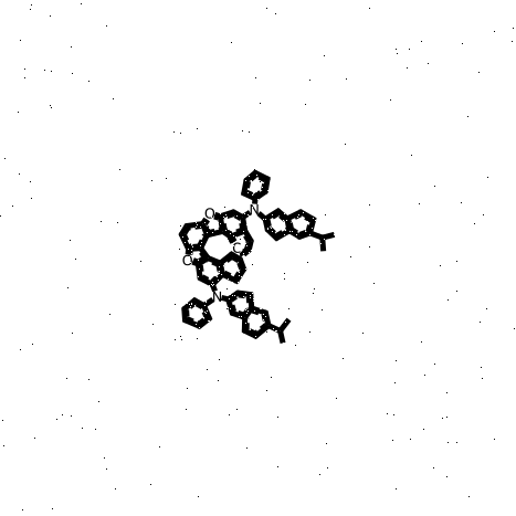 CC(C)c1ccc2cc(N(c3ccccc3)c3cc4oc5ccc6oc7cc(N(c8ccccc8)c8ccc9cc(C(C)C)ccc9c8)c8ccccc8c7c6c5c4c4ccccc34)ccc2c1